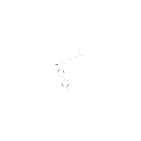 CN(CCCCCN1CCCC1)C(=O)C1=CCC(C2C=CC(N)=CC2)C=C1